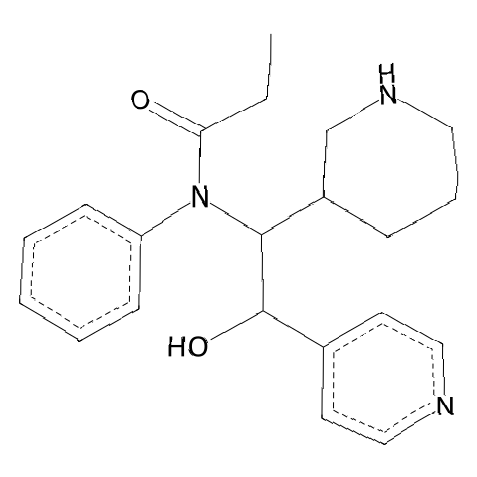 CCC(=O)N(c1ccccc1)C(C1CCCNC1)C(O)c1ccncc1